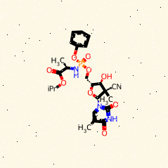 Cc1cn([C@@H]2O[C@H](COP(=O)(N[C@H](C)C(=O)OC(C)C)Oc3ccccc3)[C@@H](O)[C@@]2(C)C#N)c(=O)[nH]c1=O